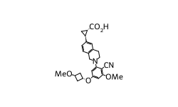 COc1cc(O[C@H]2C[C@H](OC)C2)cc(N2CCc3cc([C@H]4C[C@@H]4C(=O)O)ccc3C2)c1C#N